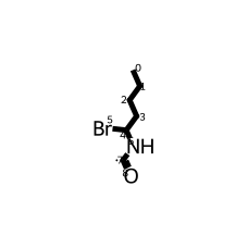 CCCCC(Br)N[C]=O